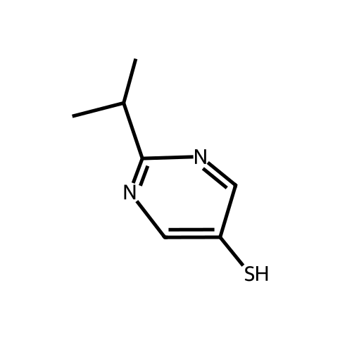 CC(C)c1ncc(S)cn1